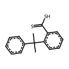 CC(C)(c1ccccc1)c1ccccc1C(=S)S